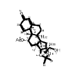 CC(=O)O[C@H]1C[C@@]2(C)[C@@H](C[C@H]3OC(C)(C)O[C@]32C(=O)CO)[C@@H]2CCC3=CC(=O)C=C[C@]3(C)[C@H]21